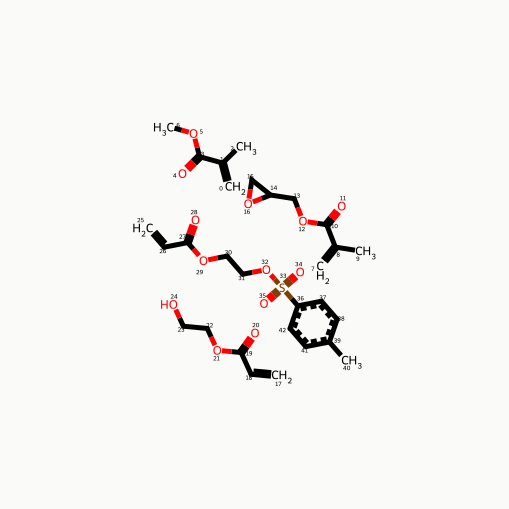 C=C(C)C(=O)OC.C=C(C)C(=O)OCC1CO1.C=CC(=O)OCCO.C=CC(=O)OCCOS(=O)(=O)c1ccc(C)cc1